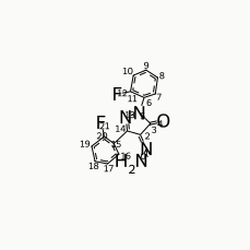 NN=C1C(=O)N(c2ccccc2F)N=C1c1ccccc1F